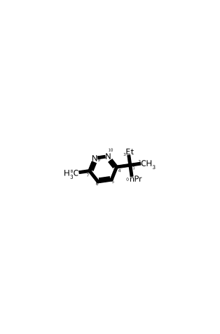 CCCC(C)(CC)c1ccc(C)nn1